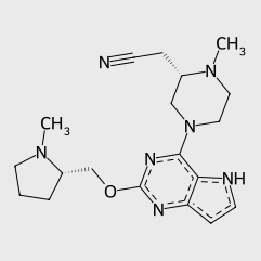 CN1CCC[C@H]1COc1nc(N2CCN(C)[C@@H](CC#N)C2)c2[nH]ccc2n1